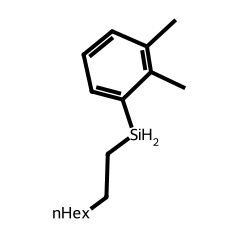 CCCCCCCC[SiH2]c1cccc(C)c1C